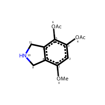 COc1cc(OC(C)=O)c(OC(C)=O)c2c1CNC2